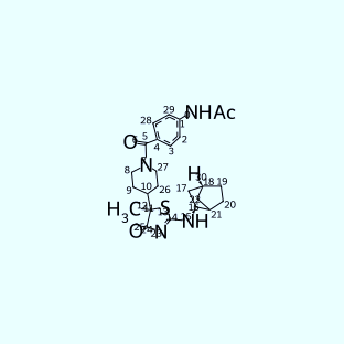 CC(=O)Nc1ccc(C(=O)N2CCC(C3(C)SC(N[C@H]4C[C@@H]5CCC4C5)=NC3=O)CC2)cc1